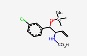 C=C[C@@H](NC(=O)O)[C@H](O[Si](C)(C)C(C)(C)C)c1cccc(Cl)c1